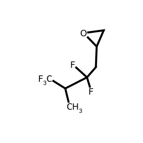 CC(C(F)(F)F)C(F)(F)CC1CO1